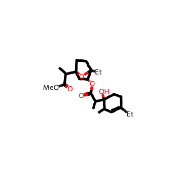 CCC1=CC(C)C(O)(C(C)C(=O)OC2CC3(C(C)C(=O)OC)CCC2(CC)O3)CC1